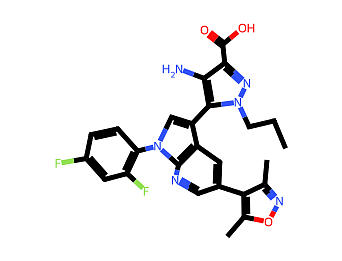 CCCn1nc(C(=O)O)c(N)c1-c1cn(-c2ccc(F)cc2F)c2ncc(-c3c(C)noc3C)cc12